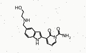 NC(=O)n1c[c]cc(-c2cc3cc(CNCCO)ccc3[nH]2)c1=O